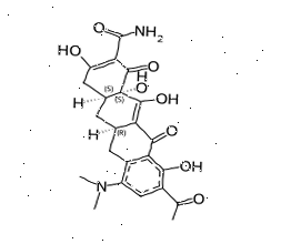 CC(=O)c1cc(N(C)C)c2c(c1O)C(=O)C1=C(O)[C@]3(O)C(=O)C(C(N)=O)=C(O)C[C@@H]3C[C@@H]1C2